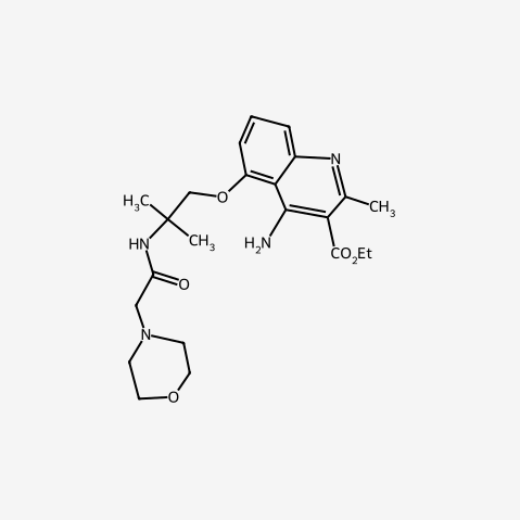 CCOC(=O)c1c(C)nc2cccc(OCC(C)(C)NC(=O)CN3CCOCC3)c2c1N